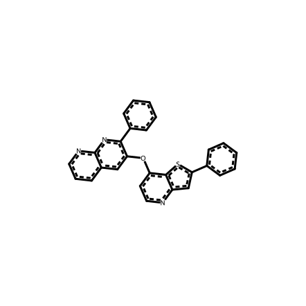 c1ccc(-c2cc3nccc(Oc4cc5cccnc5nc4-c4ccccc4)c3s2)cc1